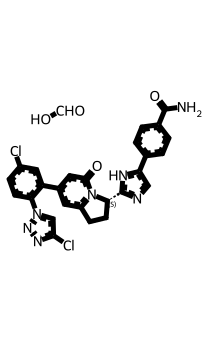 NC(=O)c1ccc(-c2cnc([C@@H]3CCc4cc(-c5cc(Cl)ccc5-n5cc(Cl)nn5)cc(=O)n43)[nH]2)cc1.O=CO